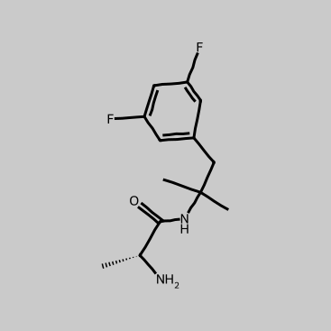 C[C@@H](N)C(=O)NC(C)(C)Cc1cc(F)cc(F)c1